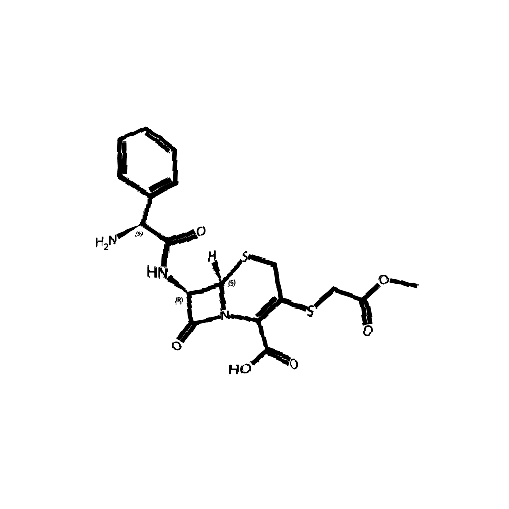 COC(=O)CSC1=C(C(=O)O)N2C(=O)[C@@H](NC(=O)[C@@H](N)c3ccccc3)[C@@H]2SC1